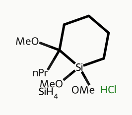 CCCC1(OC)CCCC[Si]1(OC)OC.Cl.[SiH4]